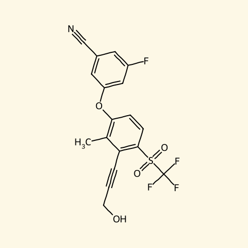 Cc1c(Oc2cc(F)cc(C#N)c2)ccc(S(=O)(=O)C(F)(F)F)c1C#CCO